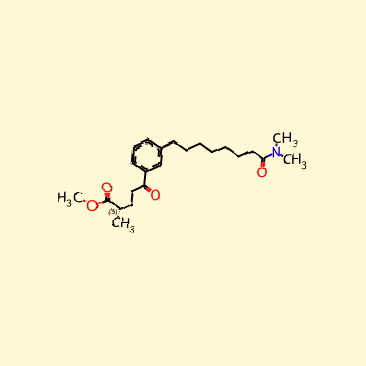 COC(=O)[C@@H](C)CCC(=O)c1cccc(CCCCCCCC(=O)N(C)C)c1